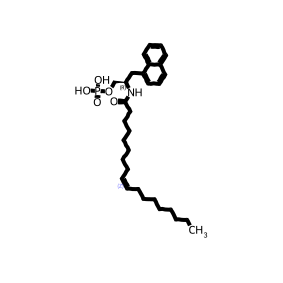 CCCCCCCC/C=C\CCCCCCCC(=O)N[C@@H](COP(=O)(O)O)Cc1cccc2ccccc12